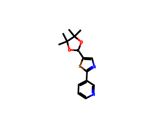 CC1(C)OB(c2cnc(-c3cccnc3)s2)OC1(C)C